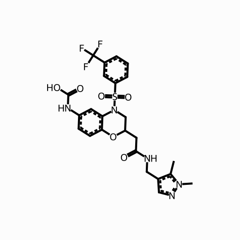 Cc1c(CNC(=O)CC2CN(S(=O)(=O)c3cccc(C(F)(F)F)c3)c3cc(NC(=O)O)ccc3O2)cnn1C